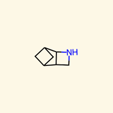 C1C2CC1C1NCC21